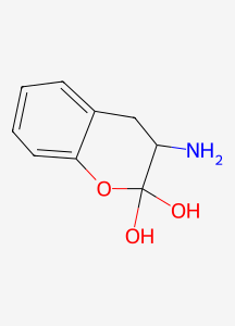 NC1Cc2ccccc2OC1(O)O